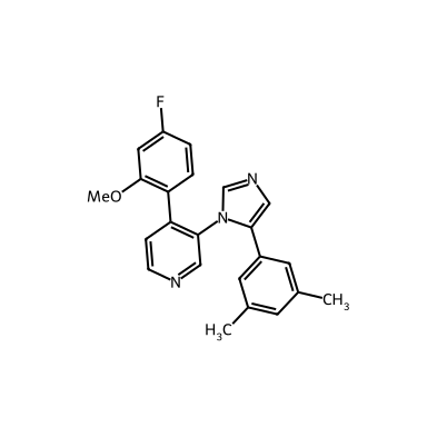 COc1cc(F)ccc1-c1ccncc1-n1cncc1-c1cc(C)cc(C)c1